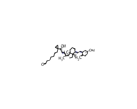 C=C1CC[C@H](O)C/C1=C/C=C1\CCC[C@]2(C)[C@@H]([C@H](C)/C=C/[C@@H](O)C3(CCCCCCC=O)CC3)CC[C@@H]12